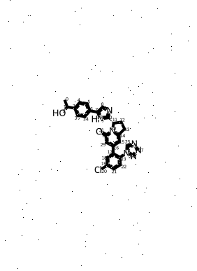 CC(O)c1ccc(-c2cnc([C@@H]3CCc4cc(-c5cc(Cl)ccc5-n5cnnn5)cc(=O)n43)[nH]2)cc1